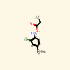 CC(=O)CC(=O)ONc1ccc(NC(C)=O)cc1Cl